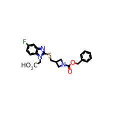 O=C(O)Cn1c(SCC2CN(C(=O)OCc3ccccc3)C2)nc2cc(F)ccc21